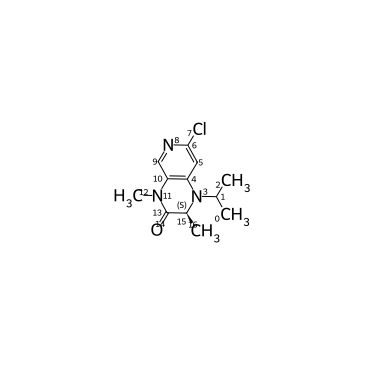 CC(C)N1c2cc(Cl)ncc2N(C)C(=O)[C@@H]1C